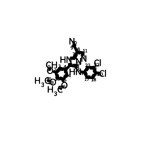 COc1cc(-c2[nH]c3c(C#N)cnn3c2Nc2ccc(Cl)c(Cl)c2)cc(OC)c1OC